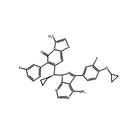 Cc1csc2cc([C@H](C3CC3)n3nc(-c4ccc(OC5CC5)c(F)c4)c4c(N)ncnc43)c(-c3cccc(F)c3)c(=O)n12